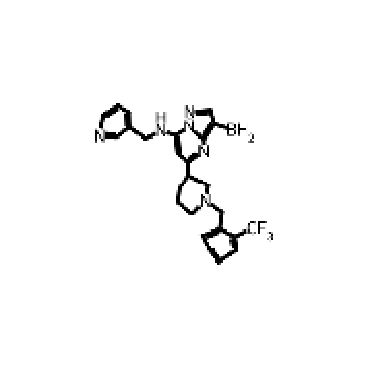 Bc1cnn2c(NCc3cccnc3)cc(C3CCCN(Cc4ccccc4C(F)(F)F)C3)nc12